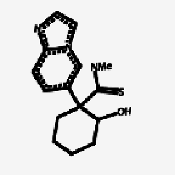 CNC(=S)C1(c2ccc3nccn3c2)CCCCC1O